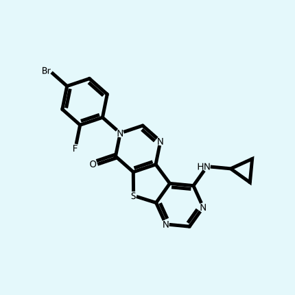 O=c1c2sc3ncnc(NC4CC4)c3c2ncn1-c1ccc(Br)cc1F